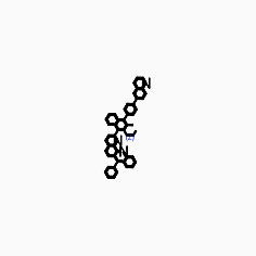 C/C=C\c1c(C)c(-c2ccc(-c3ccc4ncccc4c3)cc2)c2ccccc2c1-c1ccc2ccc3c(-c4ccccc4)c4ccccc4nc3c2n1